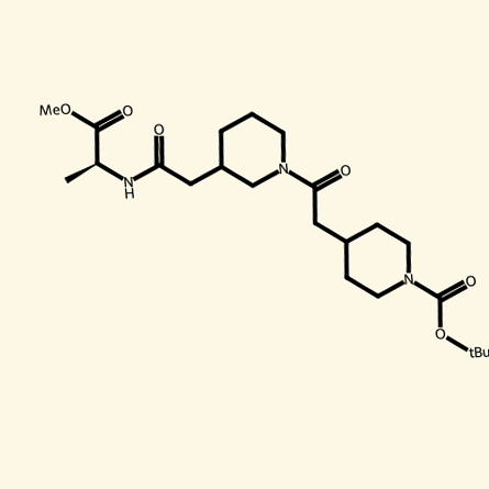 COC(=O)[C@H](C)NC(=O)CC1CCCN(C(=O)CC2CCN(C(=O)OC(C)(C)C)CC2)C1